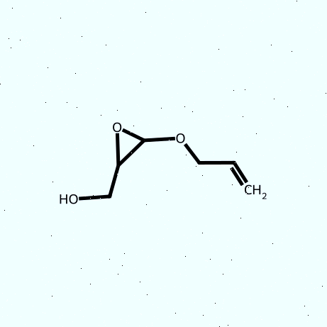 C=CCOC1OC1CO